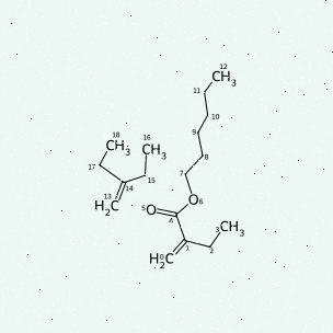 C=C(CC)C(=O)OCCCCCC.C=C(CC)CC